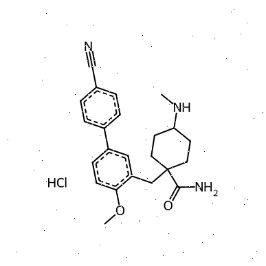 CNC1CCC(Cc2cc(-c3ccc(C#N)cc3)ccc2OC)(C(N)=O)CC1.Cl